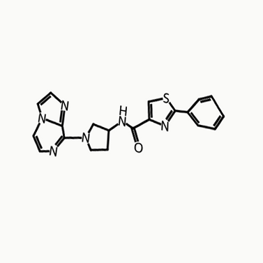 O=C(NC1CCN(c2nccn3ccnc23)C1)c1csc(-c2ccccc2)n1